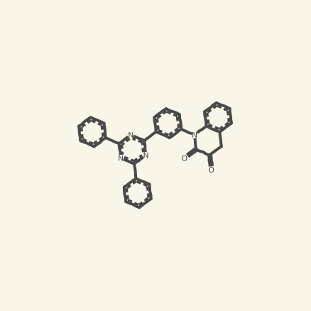 O=C1Cc2ccccc2N(c2cccc(-c3nc(-c4ccccc4)nc(-c4ccccc4)n3)c2)C1=O